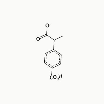 CC(C([O])=O)c1ccc(C(=O)O)cc1